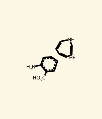 C1=CC=CNC=C1.F.Nc1ccccc1C(=O)O